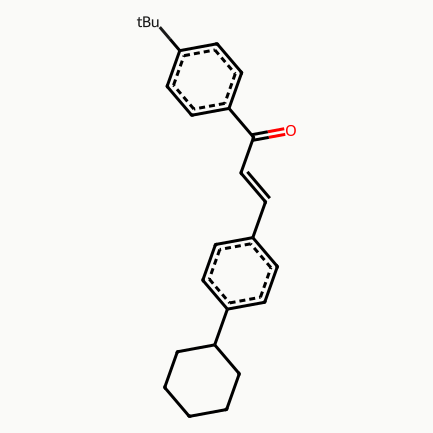 CC(C)(C)c1ccc(C(=O)C=Cc2ccc(C3CCCCC3)cc2)cc1